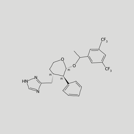 CC(O[C@H]1OCC[C@@H](Cc2nc[nH]n2)[C@@H]1c1ccccc1)c1cc(C(F)(F)F)cc(C(F)(F)F)c1